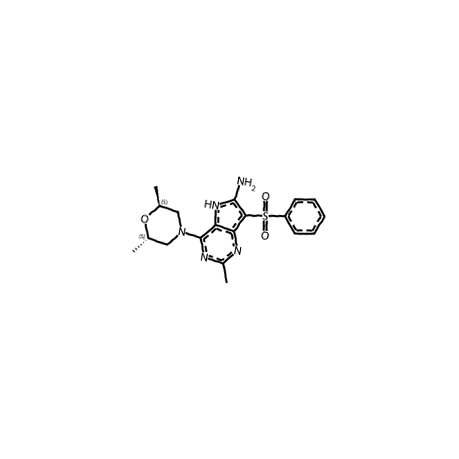 Cc1nc(N2C[C@H](C)O[C@@H](C)C2)c2[nH]c(N)c(S(=O)(=O)c3ccccc3)c2n1